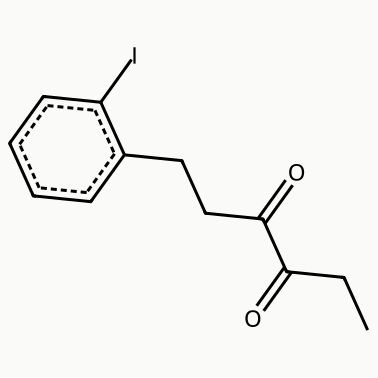 CCC(=O)C(=O)CCc1ccccc1I